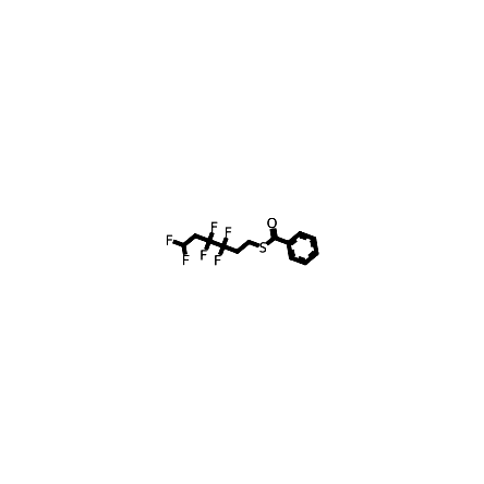 O=C(SCCC(F)(F)C(F)(F)CC(F)F)c1ccccc1